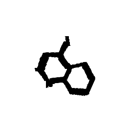 Ic1c[c]nc2ccccc12